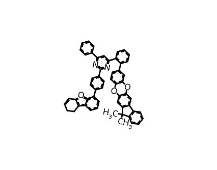 CC1(C)c2ccccc2-c2cc3c(cc21)Oc1ccc(-c2ccccc2-c2cc(-c4ccccc4)nc(-c4ccc(-c5cccc6c7c(oc56)C=CCC7)cc4)n2)cc1O3